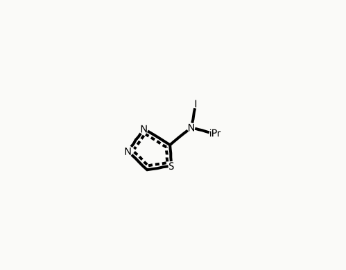 CC(C)N(I)c1nncs1